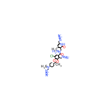 Cc1cc(CN=[N+]=[N-])[nH]c(=O)c1CN(N)C(=O)c1cc(Cl)c2c(c1CN=[N+]=[N-])O[C@@](C)([C@H]1CC[C@H](N(C)CN=[N+]=[N-])CC1)O2